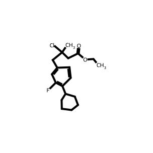 CCOC(=O)CC(C)(Cl)Cc1ccc(C2CCCCC2)c(F)c1